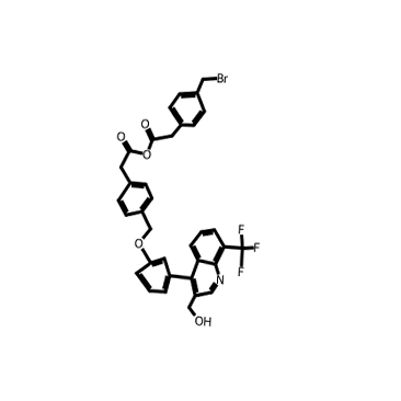 O=C(Cc1ccc(CBr)cc1)OC(=O)Cc1ccc(COc2cccc(-c3c(CO)cnc4c(C(F)(F)F)cccc34)c2)cc1